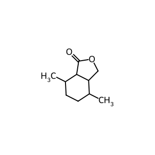 CC1CCC(C)C2C(=O)OCC12